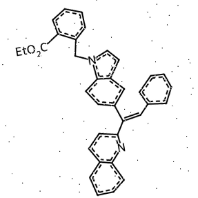 CCOC(=O)c1ccccc1Cn1ccc2cc(C(=Cc3ccccc3)c3ccc4ccccc4n3)ccc21